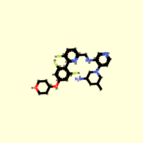 CC1CC(N)CN(c2ccncc2NCc2ccc(F)c(-c3c(F)cc(OC4CCOCC4)cc3F)n2)C1